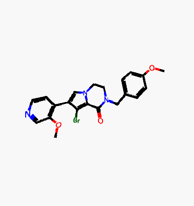 COc1ccc(CN2CCn3cc(-c4ccncc4OC)c(Br)c3C2=O)cc1